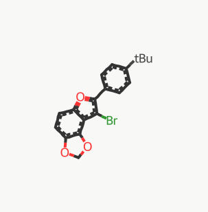 CC(C)(C)c1ccc(-c2oc3ccc4c(c3c2Br)OCO4)cc1